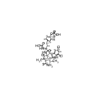 CCCC(C(N)=S)N(C)C(=O)C1(NC(=O)[C@H](CCc2ccc(OP(=O)(O)O)cc2)NC(=O)O)CCc2[nH]c3c(Cl)cc(Cl)cc3c2C1